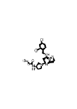 CC(C)(C)OC(=O)N[C@@H]1CCN(c2cc(NCc3ccc(Cl)cc3Cl)n3nccc3n2)C1